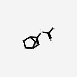 CC(=O)OC1=CC2CCC1C2